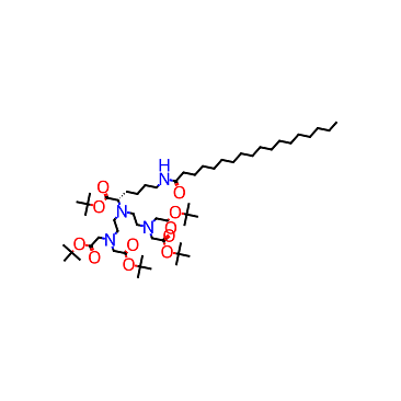 CCCCCCCCCCCCCCCCCC(=O)NCCCC[C@@H](C(=O)OC(C)(C)C)N(CCN(CC(=O)OC(C)(C)C)CC(=O)OC(C)(C)C)CCN(CC(=O)OC(C)(C)C)CC(=O)OC(C)(C)C